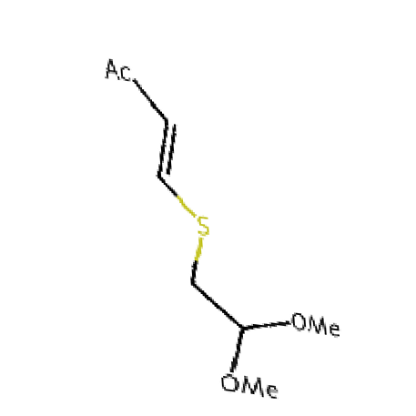 COC(CSC=CC(C)=O)OC